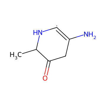 CC1N[C]=C(N)CC1=O